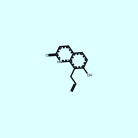 C=CCc1c(O)ccc2ccc(=O)[nH]c12